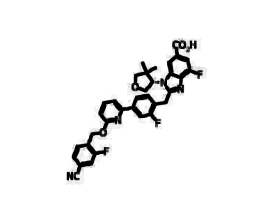 CC1(C)COC[C@H]1n1c(Cc2ccc(-c3cccc(OCc4ccc(C#N)cc4F)n3)cc2F)nc2c(F)cc(C(=O)O)cc21